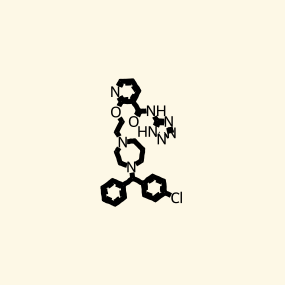 O=C(Nc1nnn[nH]1)c1cccnc1OCCN1CCCN(C(c2ccccc2)c2ccc(Cl)cc2)CC1